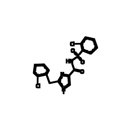 Cn1cc(C(=O)NS(=O)(=O)c2ccccc2Cl)nc1Cc1ccccc1Cl